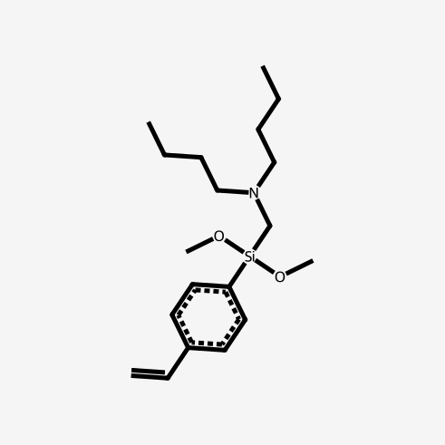 C=Cc1ccc([Si](CN(CCCC)CCCC)(OC)OC)cc1